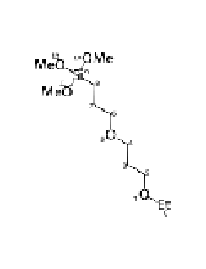 CCOCCCOCCC[Si](OC)(OC)OC